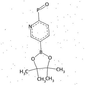 CC1(C)OB(c2ccc(P=O)nc2)OC1(C)C